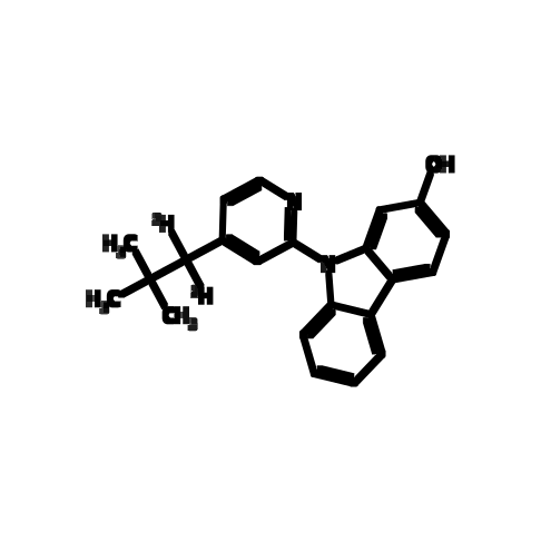 [2H]C([2H])(c1ccnc(-n2c3ccccc3c3ccc(O)cc32)c1)C(C)(C)C